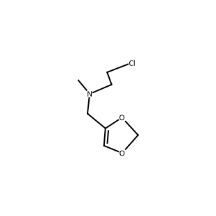 CN(CCCl)CC1=COCO1